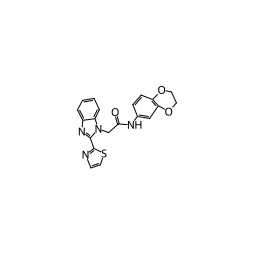 O=C(Cn1c(-c2nccs2)nc2ccccc21)Nc1ccc2c(c1)OCCO2